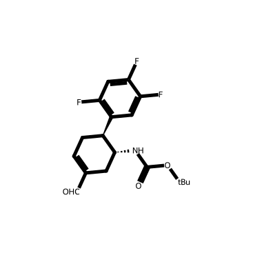 CC(C)(C)OC(=O)N[C@@H]1CC(C=O)=CC[C@H]1c1cc(F)c(F)cc1F